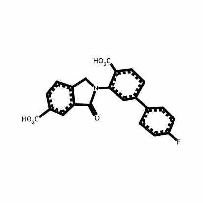 O=C(O)c1ccc2c(c1)C(=O)N(c1cc(-c3ccc(F)cc3)ccc1C(=O)O)C2